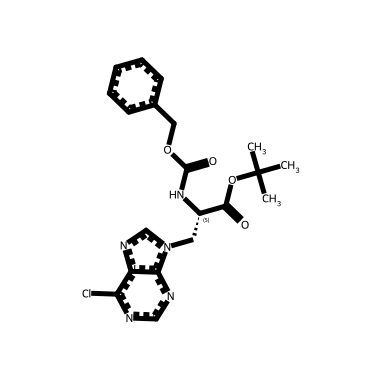 CC(C)(C)OC(=O)[C@H](Cn1cnc2c(Cl)ncnc21)NC(=O)OCc1ccccc1